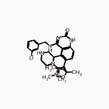 Cc1noc(C)c1-c1ccc2[nH]c(=O)nc(NCc3cccc(Cl)c3)c2c1C1CNCCN1C(=O)N(C)C